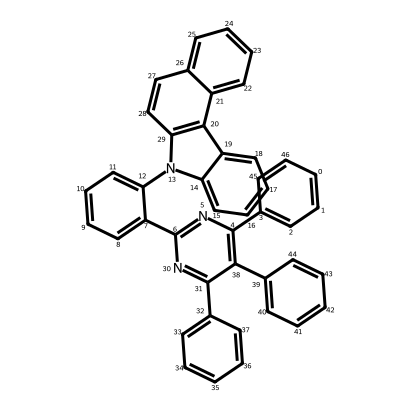 c1ccc(-c2nc(-c3ccccc3-n3c4ccccc4c4c5ccccc5ccc43)nc(-c3ccccc3)c2-c2ccccc2)cc1